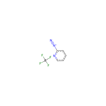 F[B-](F)(F)F.N#[N+]c1ccccn1